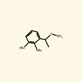 CCCCc1cccc(C(C)O[SiH3])c1CCCC